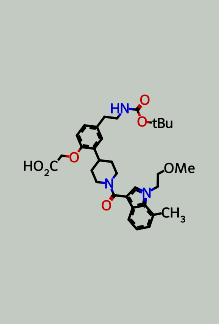 COCCn1cc(C(=O)N2CCC(c3cc(CCNC(=O)OC(C)(C)C)ccc3OCC(=O)O)CC2)c2cccc(C)c21